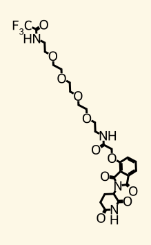 O=C(COc1cccc2c1C(=O)N(C1CCC(=O)NC1=O)C2=O)NCCOCCOCCOCCOCCNC(=O)C(F)(F)F